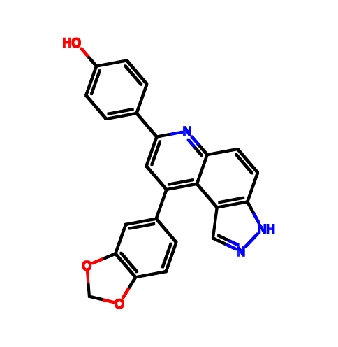 Oc1ccc(-c2cc(-c3ccc4c(c3)OCO4)c3c(ccc4[nH]ncc43)n2)cc1